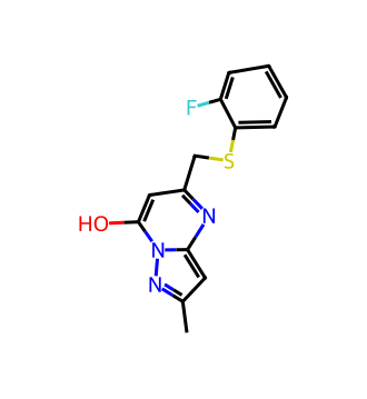 Cc1cc2nc(CSc3ccccc3F)cc(O)n2n1